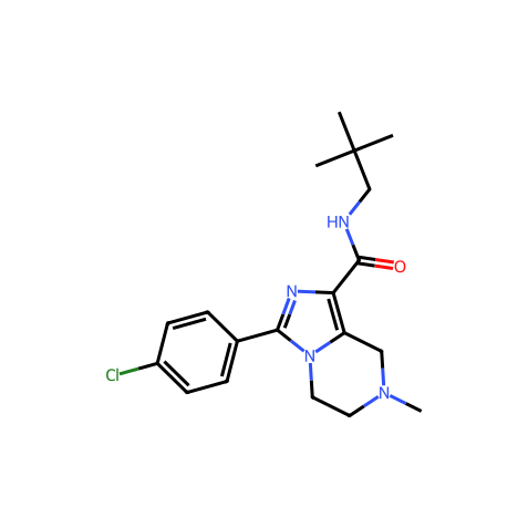 CN1CCn2c(-c3ccc(Cl)cc3)nc(C(=O)NCC(C)(C)C)c2C1